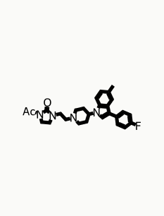 CC(=O)N1CCN(CCN2CCC(n3cc(-c4ccc(F)cc4)c4cc(C)ccc43)CC2)C1=O